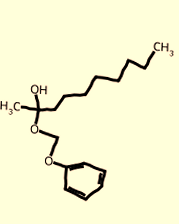 CCCCCCCCC(C)(O)OCOc1ccccc1